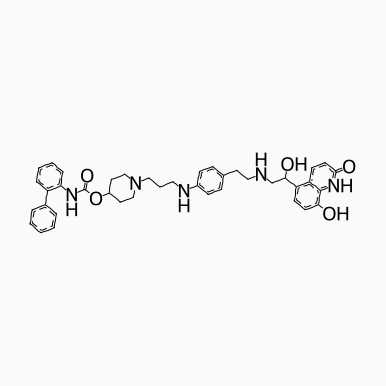 O=C(Nc1ccccc1-c1ccccc1)OC1CCN(CCCNc2ccc(CCNCC(O)c3ccc(O)c4[nH]c(=O)ccc34)cc2)CC1